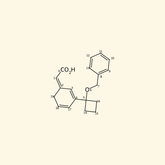 O=C(O)C=C1C=C(C2(OCc3ccccc3)CCC2)C=CC1